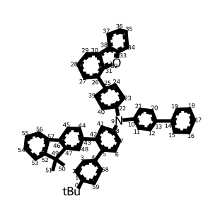 CC(C)(C)c1ccc(-c2ccc(N(c3ccc(-c4ccccc4)cc3)c3ccc(-c4cccc5c4oc4ccccc45)cc3)cc2-c2ccc3c(c2)C(C)(C)c2ccccc2-3)cc1